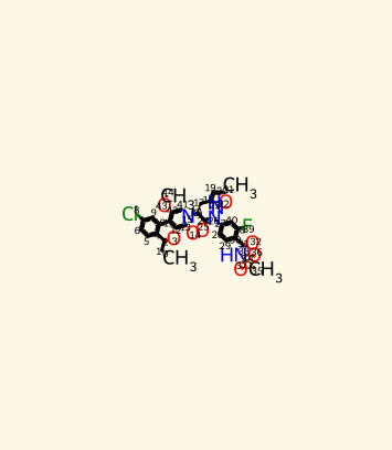 CCC(=O)c1ccc(Cl)cc1-c1cc(=O)n([C@@H](Cc2cc(C)on2)C(=O)Nc2ccc(C(=O)NS(C)(=O)=O)c(F)c2)cc1OC